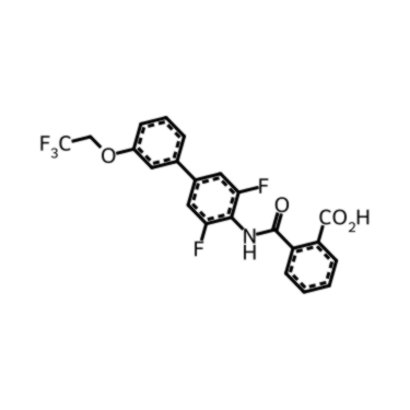 O=C(O)c1ccccc1C(=O)Nc1c(F)cc(-c2cccc(OCC(F)(F)F)c2)cc1F